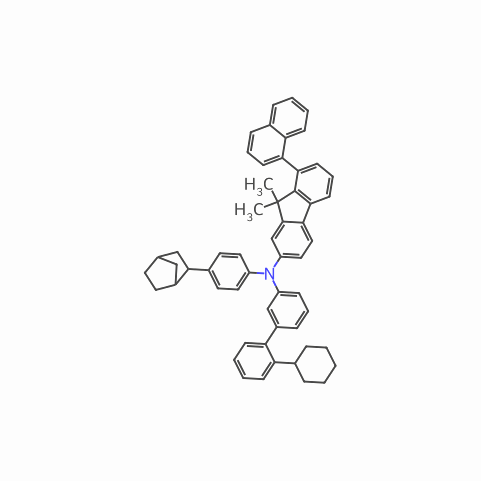 CC1(C)c2cc(N(c3ccc(C4CC5CCC4C5)cc3)c3cccc(-c4ccccc4C4CCCCC4)c3)ccc2-c2cccc(-c3cccc4ccccc34)c21